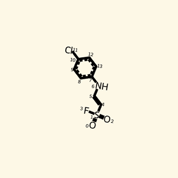 O=S(=O)(F)C=CNc1ccc(Cl)cc1